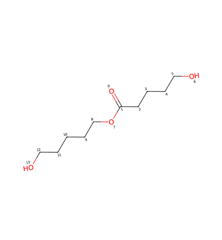 O=C(CCCCO)OCCCCCO